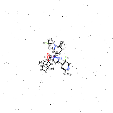 COc1cc(-c2cc(C(=O)C3[C@@H]4CC[C@H]3C[C@H](C(=O)N[C@H]3CC[C@H](C(F)(F)F)N(CC(C)(C)F)C3)C4)n[nH]2)c(F)cn1